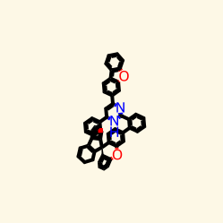 C1=CC2=C(CC1)[C@]1(c3ccccc3Oc3cc(-c4ccccc4C4=NC(c5ccc6c(c5)oc5ccccc56)=CC(c5ccccc5)N4)ccc31)c1ccccc12